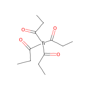 CC[C](=O)[Ti]([C](=O)CC)([C](=O)CC)[C](=O)CC